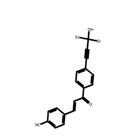 CCC(O)(C#Cc1ccc(C(=O)C=Cc2ccc(C#N)cc2)cc1)CC